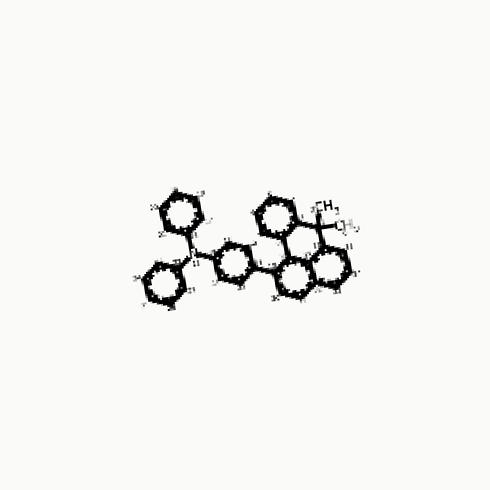 CC1(C)c2ccccc2-c2c(-c3ccc(N(c4ccccc4)c4ccccc4)cc3)ccc3cccc1c23